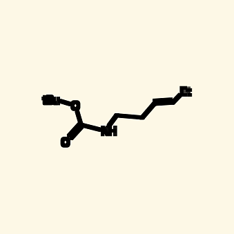 CCC=CCCNC(=O)OC(C)(C)C